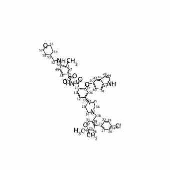 Cc1cc(S(=O)(=O)NC(=O)c2ccc(N3CCN(CC4=C(c5ccc(Cl)cc5)CC(C)(C)OC4)CC3)cc2Oc2ccc3[nH]ccc3c2)ccc1NCC1CCOCC1